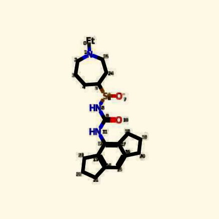 CCN1CCCC([S+]([O-])NC(=O)Nc2c3c(cc4c2CCC4)CCC3)CC1